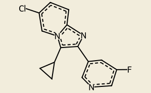 Fc1cncc(-c2nc3ccc(Cl)cn3c2C2CC2)c1